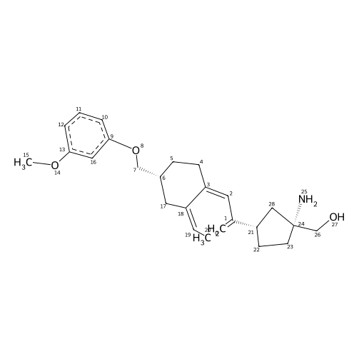 C=C(/C=C1/CC[C@@H](COc2cccc(OC)c2)C/C1=C/C)[C@H]1CC[C@](N)(CO)C1